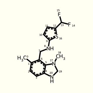 Cc1ccc2c(c1CNc1ccc(C(F)F)s1)N(C)CN2